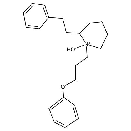 O[N+]1(CCCOc2ccccc2)CCCCC1CCc1ccccc1